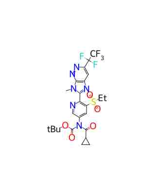 CCS(=O)(=O)c1cc(N(C(=O)OC(C)(C)C)C(=O)C2CC2)cnc1-c1nc2cc(C(F)(F)C(F)(F)F)nnc2n1C